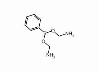 NCOB(OCN)c1ccccc1